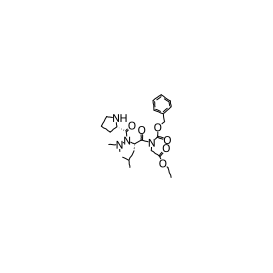 CCOC(=O)CN(C(=O)OCc1ccccc1)C(=O)[C@H](CC(C)C)N(C(=O)[C@@H]1CCCN1)N(C)C